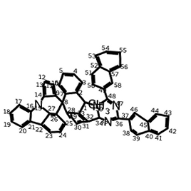 CC12c3ccccc3C3(c4ccccc4-n4c5ccccc5c5cccc3c54)c3cccc(c31)C1N=C(c3ccc4ccccc4c3)N=C(c3ccc4ccccc4c3)N12